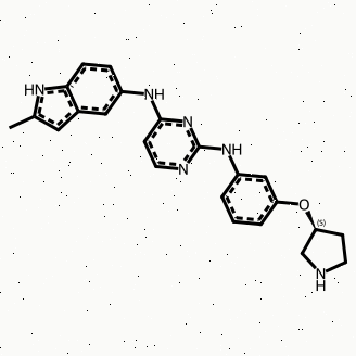 Cc1cc2cc(Nc3ccnc(Nc4cccc(O[C@H]5CCNC5)c4)n3)ccc2[nH]1